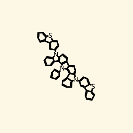 c1ccc(-n2c3c(ccc4c3c3ccccc3n4-c3ccc4sc5ccccc5c4c3)c3ccc4c(c5ccccc5n4-c4ccc5sc6ccccc6c5c4)c32)cc1